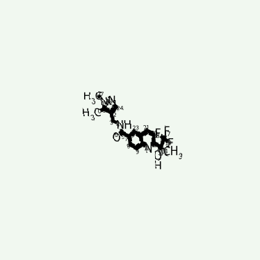 Cc1c(CNC(=O)c2ccc3nc([C@@](C)(O)C(F)(F)F)ccc3c2)cnn1C